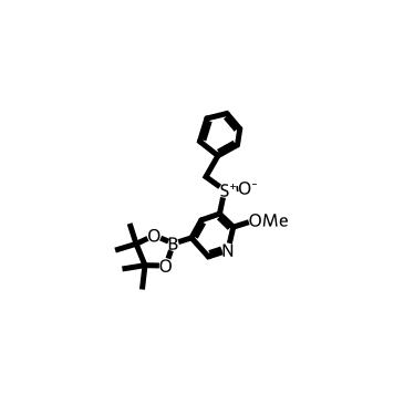 COc1ncc(B2OC(C)(C)C(C)(C)O2)cc1[S+]([O-])Cc1ccccc1